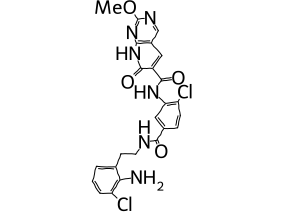 COc1ncc2cc(C(=O)Nc3cc(C(=O)NCCc4cccc(Cl)c4N)ccc3Cl)c(=O)[nH]c2n1